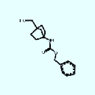 O=C(NC12CCC(CO)(CC1)C2)OCc1ccccc1